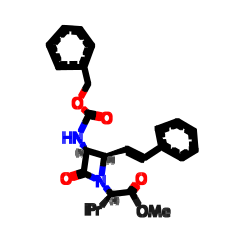 COC(=O)[C@@H](C(C)C)N1C(=O)[C@@H](NC(=O)OCc2ccccc2)[C@H]1C=Cc1ccccc1